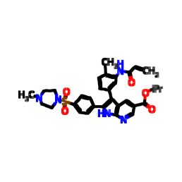 C=CC(=O)Nc1cc(-c2c(-c3ccc(S(=O)(=O)N4CCN(C)CC4)cc3)[nH]c3ncc(C(=O)OC(C)C)cc23)ccc1C